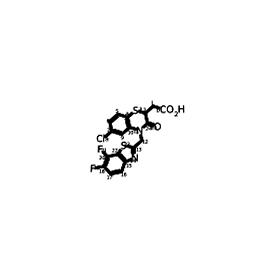 O=C(O)CC1Sc2ccc(Cl)cc2N(Cc2nc3ccc(F)c(F)c3s2)C1=O